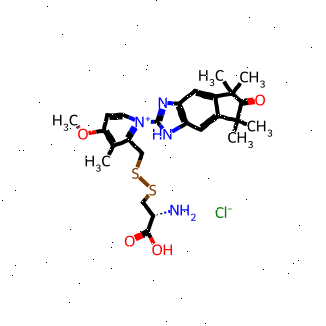 COc1cc[n+](-c2nc3cc4c(cc3[nH]2)C(C)(C)C(=O)C4(C)C)c(CSSC[C@H](N)C(=O)O)c1C.[Cl-]